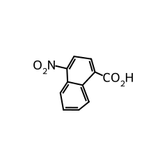 O=C(O)c1ccc([N+](=O)[O-])c2ccccc12